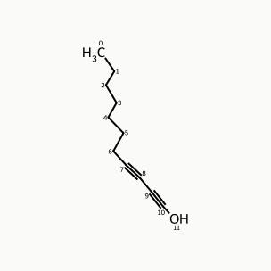 CCCCCCCC#CC#CO